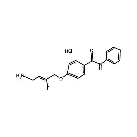 Cl.NCC=C(F)COc1ccc(C(=O)Nc2ccccc2)cc1